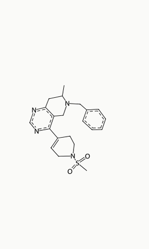 CC1Cc2ncnc(C3=CCN(S(C)(=O)=O)CC3)c2CN1Cc1ccccc1